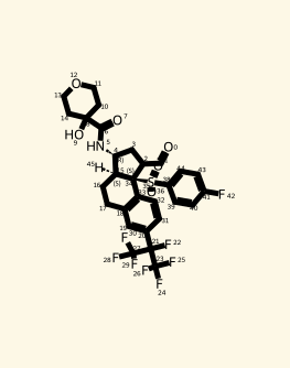 O=CC1C[C@@H](NC(=O)C2(O)CCOCC2)[C@@H]2CCc3cc(C(F)(C(F)(F)F)C(F)(F)F)ccc3[C@@]12S(=O)(=O)c1ccc(F)cc1